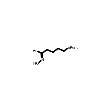 CCCCCCCCCC(=NO)C(C)=O